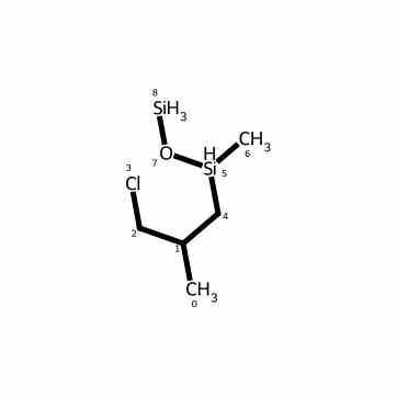 CC(CCl)C[SiH](C)O[SiH3]